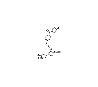 COc1ccc(C2CNC(=O)C2)cc1OCCCN1CCC(C(=O)c2ccc(F)cc2)CC1